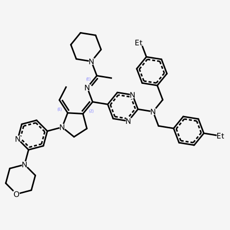 C\C=C1/C(=C(\N=C(/C)N2CCCCC2)c2cnc(N(Cc3ccc(CC)cc3)Cc3ccc(CC)cc3)nc2)CCN1c1ccnc(N2CCOCC2)c1